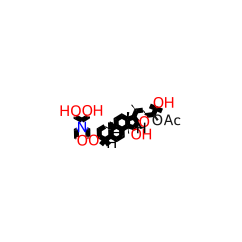 CC(=O)O[C@@H]([C@H]1C[C@@H](C)C2[C@H](O1)[C@H](O)[C@@]1(C)[C@@H]3CC[C@H]4C(C)(C)[C@@H](OC5CN(C(CO)CO)CCO5)CC[C@@]45C[C@@]35CC[C@]21C)C(C)(C)O